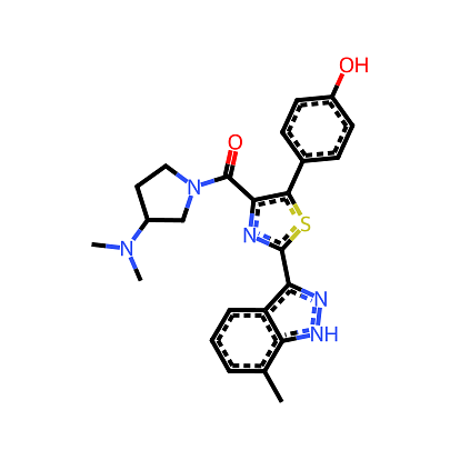 Cc1cccc2c(-c3nc(C(=O)N4CCC(N(C)C)C4)c(-c4ccc(O)cc4)s3)n[nH]c12